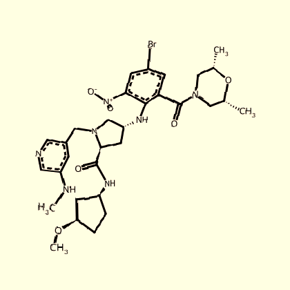 CNc1cncc(CN2C[C@H](Nc3c(C(=O)N4C[C@@H](C)O[C@@H](C)C4)cc(Br)cc3[N+](=O)[O-])C[C@H]2C(=O)N[C@H]2CC[C@@H](OC)C2)c1